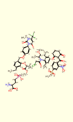 CCc1ccc(COc2ccc(-n3c(=O)cc(C(F)(F)F)n(C)c3=O)cc2)c(OC(C)C(=O)OC)c1.CCc1cccc(C)c1N(C(=O)CCl)C(C)COC.CP(=O)(O)CCC(N)C(=O)O.CS(=O)(=O)c1ccc(C(=O)C2C(=O)CCCC2=O)c([N+](=O)[O-])c1